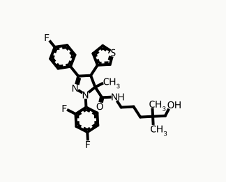 CC(C)(CO)CCCNC(=O)C1(C)C(c2ccsc2)C(c2ccc(F)cc2)=NN1c1ccc(F)cc1F